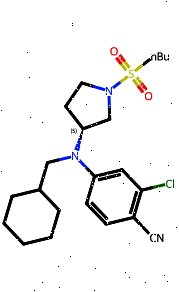 CCCCS(=O)(=O)N1CC[C@H](N(CC2CCCCC2)c2ccc(C#N)c(Cl)c2)C1